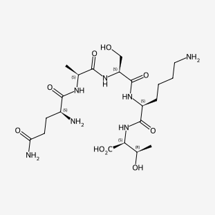 C[C@H](NC(=O)[C@@H](N)CCC(N)=O)C(=O)N[C@@H](CO)C(=O)N[C@@H](CCCCN)C(=O)N[C@H](C(=O)O)[C@@H](C)O